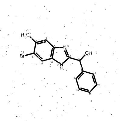 Cc1cc2nc(C(O)c3ccccc3)[nH]c2cc1Br